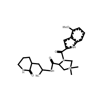 COc1cccc2[nH]c(C(=O)N3C[Si](C)(C)CC3C(=O)NC(C#N)CC3CCCNC3=O)cc12